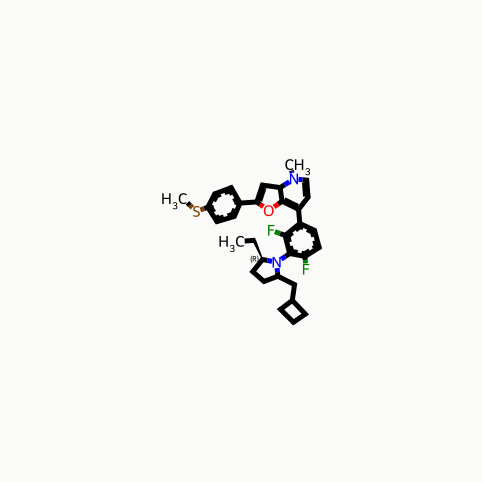 CC[C@@H]1CCC(CC2CCC2)N1c1c(F)ccc(C2=C3OC(c4ccc(SC)cc4)=CC3N(C)C=C2)c1F